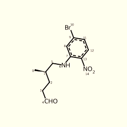 C[C@H](CCC=O)CNc1cc(Br)ccc1[N+](=O)[O-]